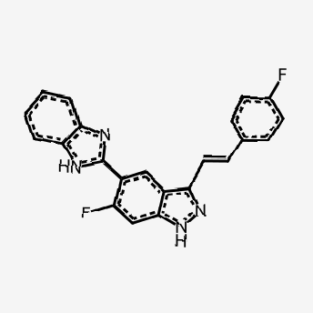 Fc1ccc(C=Cc2n[nH]c3cc(F)c(-c4nc5ccccc5[nH]4)cc23)cc1